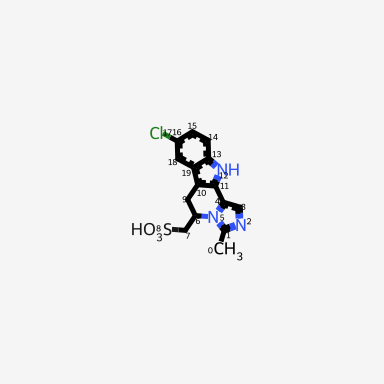 Cc1ncc2n1C(CS(=O)(=O)O)Cc1c-2[nH]c2ccc(Cl)cc12